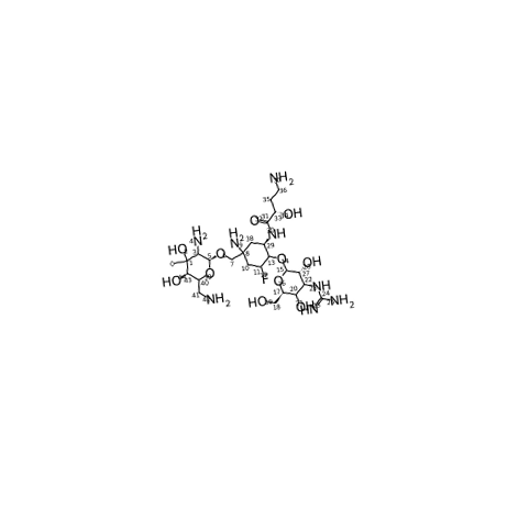 CC1(O)C(N)[C@@H](OCC2(N)CC(F)C(OC3O[C@H](CO)C(O)C(NC(=N)N)[C@H]3O)[C@H](NC(=O)[C@@H](O)CCN)C2)OC(CN)[C@H]1O